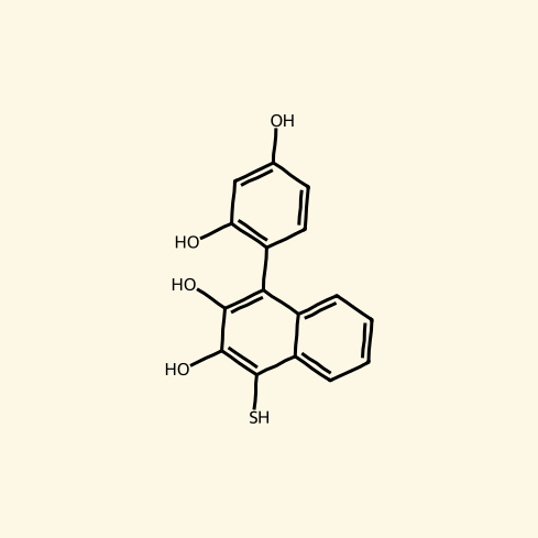 Oc1ccc(-c2c(O)c(O)c(S)c3ccccc23)c(O)c1